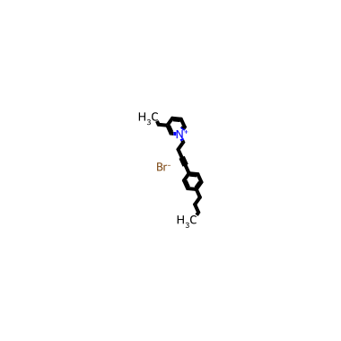 CCCCc1ccc(C#CCC[n+]2cccc(CC)c2)cc1.[Br-]